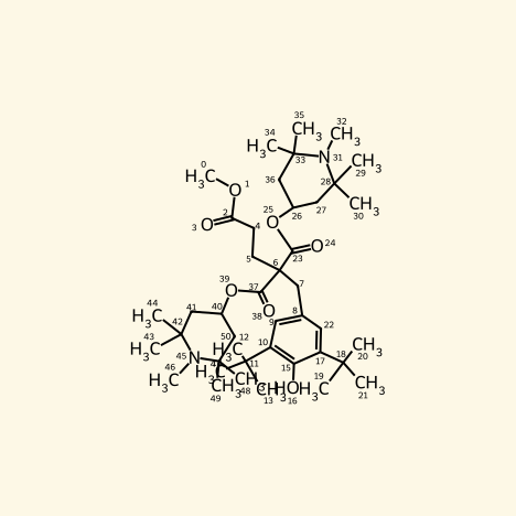 COC(=O)CCC(Cc1cc(C(C)(C)C)c(O)c(C(C)(C)C)c1)(C(=O)OC1CC(C)(C)N(C)C(C)(C)C1)C(=O)OC1CC(C)(C)N(C)C(C)(C)C1